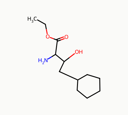 CCOC(=O)C(N)C(O)CC1CCCCC1